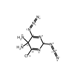 [N-]=[N+]=NC1=NC(N=[N+]=[N-])N=C(Cl)C1(N)N